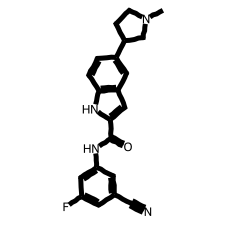 CN1CCC(c2ccc3[nH]c(C(=O)Nc4cc(F)cc(C#N)c4)cc3c2)C1